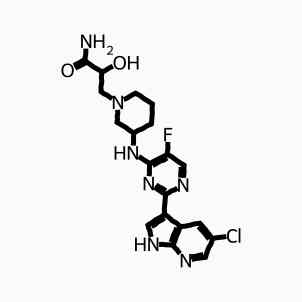 NC(=O)C(O)CN1CCCC(Nc2nc(-c3c[nH]c4ncc(Cl)cc34)ncc2F)C1